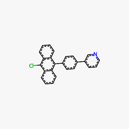 Clc1c2ccccc2c(-c2ccc(-c3cccnc3)cc2)c2ccccc12